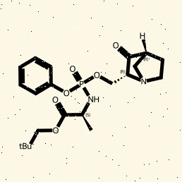 C[C@H](NP(=O)(OC[C@@H]1C(=O)[C@@H]2CCN1C2)Oc1ccccc1)C(=O)OCC(C)(C)C